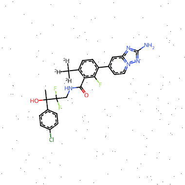 [2H]C([2H])([2H])c1ccc(-c2ccn3nc(N)nc3c2)c(F)c1C(=O)NCC(F)(F)C(C)(O)c1ccc(Cl)cc1